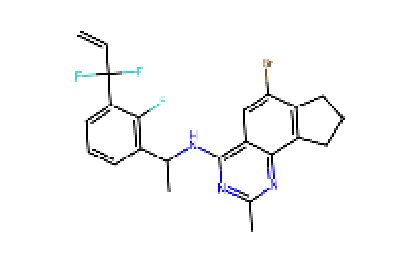 C=CC(F)(F)c1cccc(C(C)Nc2nc(C)nc3c4c(c(Br)cc23)CCC4)c1F